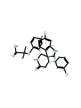 CC(C)(Oc1ccc(Br)cc1[C@H]1NC(=O)C[C@@H](C2C=C(Cl)C=CC2)[C@]12C(=O)Nc1cc(Cl)ccc12)C(=O)O